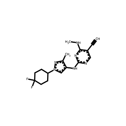 C#Cc1cnc(Nc2cn(C3CCC(F)(F)CC3)nc2C)nc1NC